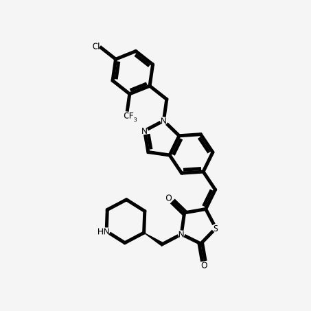 O=C1SC(=Cc2ccc3c(cnn3Cc3ccc(Cl)cc3C(F)(F)F)c2)C(=O)N1C[C@@H]1CCCNC1